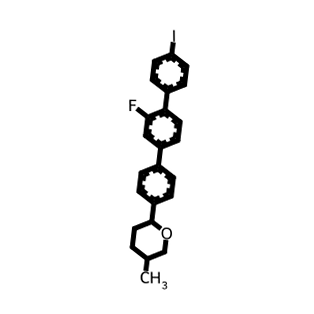 CC1CCC(c2ccc(-c3ccc(-c4ccc(I)cc4)c(F)c3)cc2)OC1